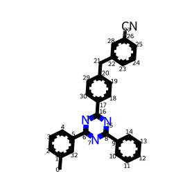 Cc1cccc(-c2nc(-c3ccccc3)nc(-c3ccc(Cc4cccc(C#N)c4)cc3)n2)c1